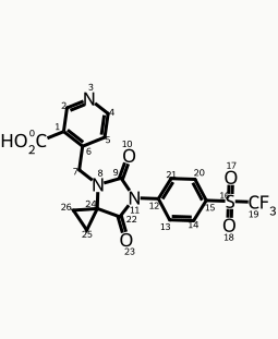 O=C(O)c1cnccc1CN1C(=O)N(c2ccc(S(=O)(=O)C(F)(F)F)cc2)C(=O)C12CC2